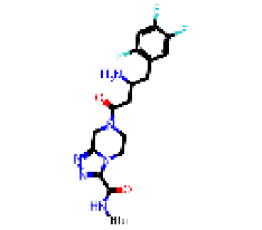 CC(C)(C)NC(=O)c1nnc2n1CCN(C(=O)CC(N)Cc1cc(F)c(F)cc1F)C2